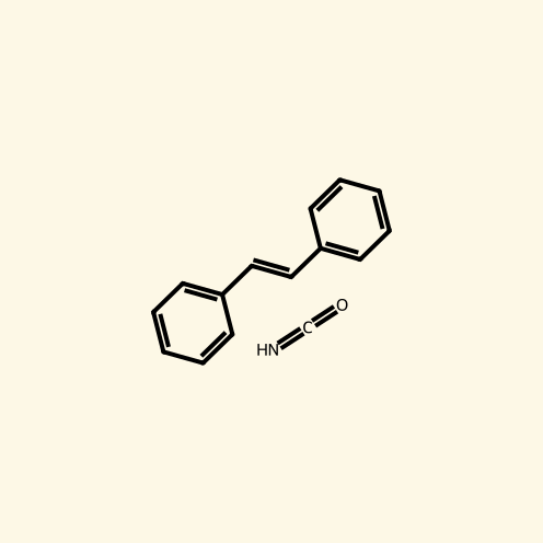 C(=Cc1ccccc1)c1ccccc1.N=C=O